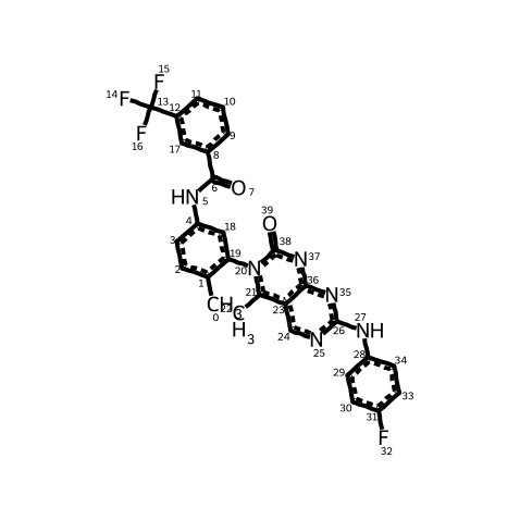 Cc1ccc(NC(=O)c2cccc(C(F)(F)F)c2)cc1-n1c(C)c2cnc(Nc3ccc(F)cc3)nc2nc1=O